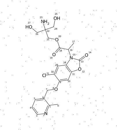 Cc1ncccc1COc1cc2oc(=O)n(C(C)C(=O)OCC(N)(CO)CO)c2cc1Cl